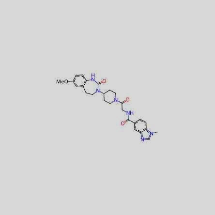 COc1ccc2c(c1)CCN(C1CCN(C(=O)CNC(=O)c3ccc4c(c3)ncn4C)CC1)C(=O)N2